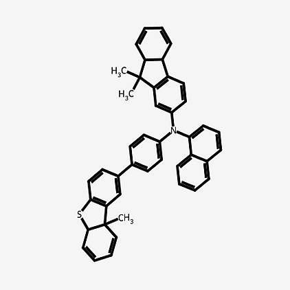 CC1(C)c2cc(N(c3ccc(-c4ccc5c(c4)C4(C)C=CC=CC4S5)cc3)c3cccc4ccccc34)ccc2C2C=CC=CC21